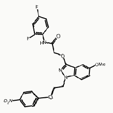 COc1ccc2c(c1)c(OCC(=O)Nc1ccc(F)cc1F)nn2CCOc1ccc([N+](=O)[O-])cc1